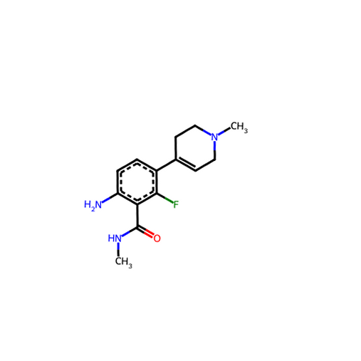 CNC(=O)c1c(N)ccc(C2=CCN(C)CC2)c1F